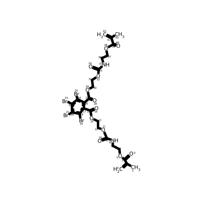 C=C(C)C(=O)OCCNC(=O)OCCOC(=O)c1c(Br)c(Br)c(Br)c(Br)c1C(=O)OCCOC(=O)NCCOC(=O)C(=C)C